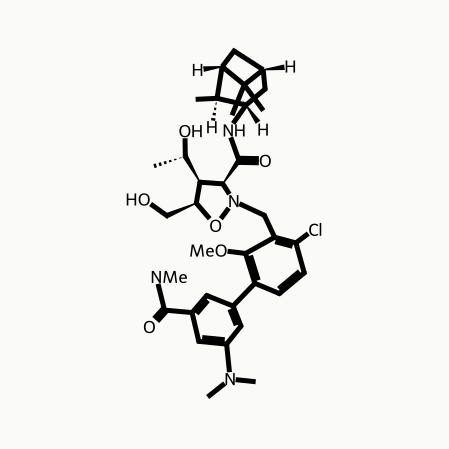 CNC(=O)c1cc(-c2ccc(Cl)c(CN3O[C@@H](CO)[C@@H]([C@H](C)O)[C@H]3C(=O)N[C@H]3C[C@H]4C[C@@H]([C@@H]3C)C4(C)C)c2OC)cc(N(C)C)c1